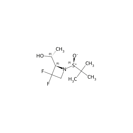 C[C@@H](O)[C@H]1N([S@@+]([O-])C(C)(C)C)CC1(F)F